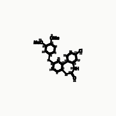 COc1ccc(Cc2ncc3c(n2)-c2ccc(Cl)cc2NC(=O)C3)cc1OC